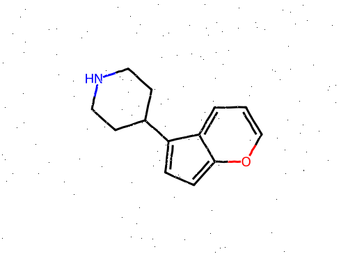 c1coc2ccc(C3CCNCC3)c-2c1